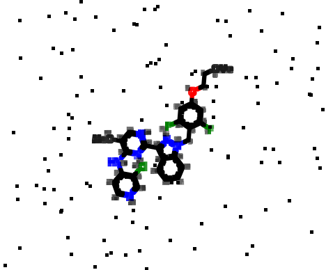 COCCOc1cc(F)c(Cn2nc(-c3ncc(OC)c(Nc4ccncc4Cl)n3)c3ccccc32)c(F)c1